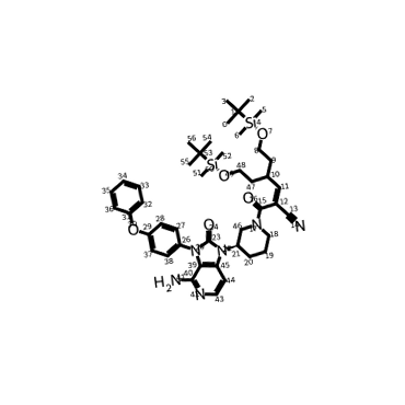 CC(C)(C)[Si](C)(C)OCCC(/C=C(/C#N)C(=O)N1CCC[C@@H](n2c(=O)n(-c3ccc(Oc4ccccc4)cc3)c3c(N)nccc32)C1)CCO[Si](C)(C)C(C)(C)C